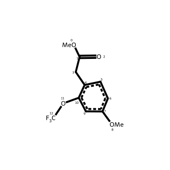 COC(=O)Cc1ccc(OC)cc1OC(F)(F)F